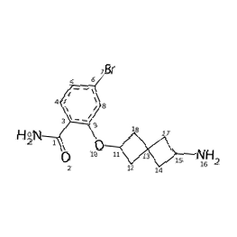 NC(=O)c1ccc(Br)cc1OC1CC2(CC(N)C2)C1